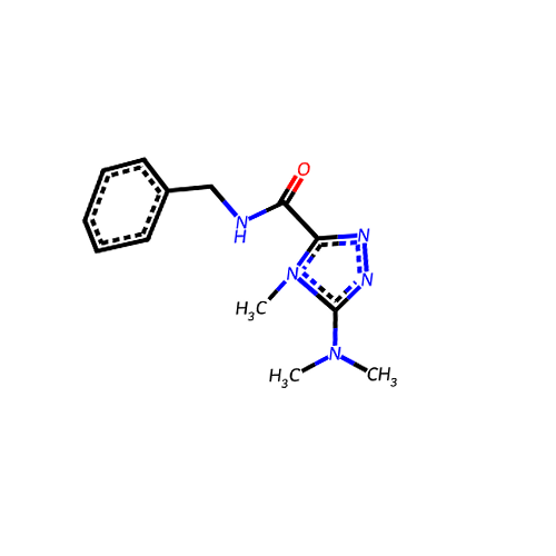 CN(C)c1nnc(C(=O)NCc2ccccc2)n1C